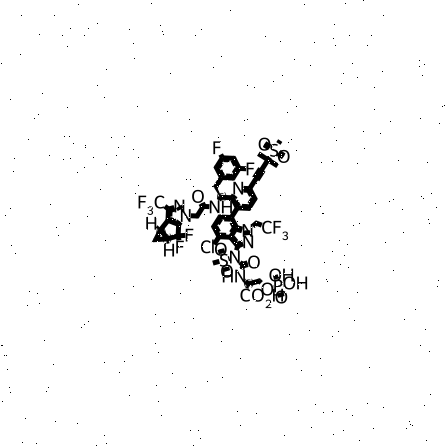 CC(C)(C#Cc1ccc(-c2ccc(Cl)c3c(N(C(=O)N[C@@H](COP(=O)(O)O)C(=O)O)S(C)(=O)=O)nn(CC(F)(F)F)c23)c([C@H](Cc2cc(F)cc(F)c2)NC(=O)Cn2nc(C(F)(F)F)c3c2C(F)(F)[C@@H]2C[C@H]32)n1)S(C)(=O)=O